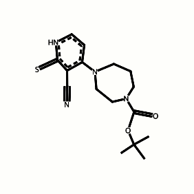 CC(C)(C)OC(=O)N1CCCN(c2cc[nH]c(=S)c2C#N)CC1